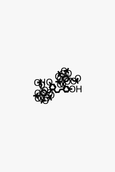 CC(=O)OC[C@H]1OC(Oc2cc(O)ccc2CCCc2ccc(O)cc2OC2O[C@H](COC(C)=O)[C@@H](OC(C)=O)[C@H](OC(C)=O)[C@H]2OC(C)=O)[C@H](OC(C)=O)[C@@H](OC(C)=O)[C@@H]1OC(C)=O